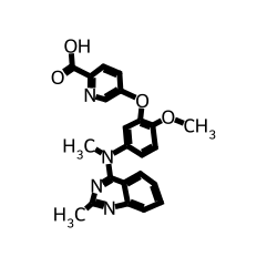 COc1ccc(N(C)c2nc(C)nc3ccccc23)cc1Oc1ccc(C(=O)O)nc1